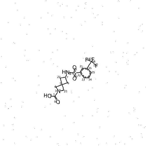 O=C(O)N1CC2(CC(NS(=O)(=O)c3cccc(C(F)(F)F)c3)C2)C1